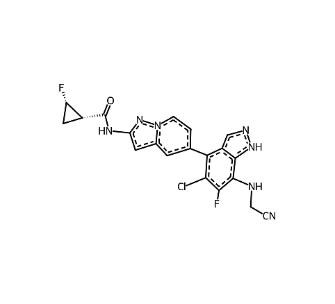 N#CCNc1c(F)c(Cl)c(-c2ccn3nc(NC(=O)[C@@H]4C[C@@H]4F)cc3c2)c2cn[nH]c12